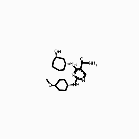 CO[C@H]1CC[C@@H](Nc2ncc(C(N)=O)c(N[C@H]3CCCC[C@@H](O)C3)n2)CC1